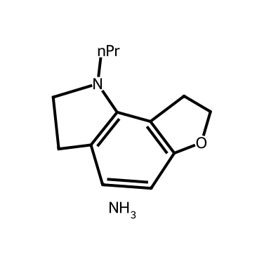 CCCN1CCc2ccc3c(c21)CCO3.N